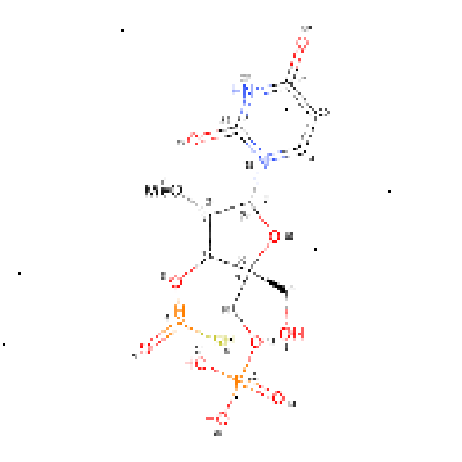 CO[C@H]1C(O[PH](=O)S)[C@@](CO)(COP(=O)(O)O)O[C@H]1n1ccc(=O)[nH]c1=O